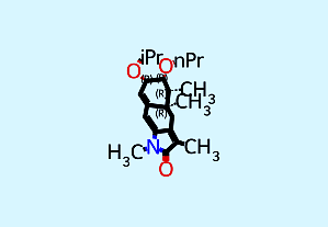 CCCO[C@H]1[C@H](OC(C)C)C=C2C=C3C(=C(C)C(=O)N3C)C[C@]2(C)[C@H]1C